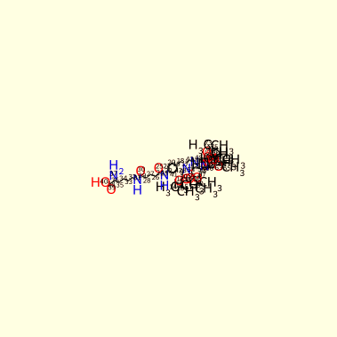 CC(C)(C)OC(=O)CN(CC(=O)OC(C)(C)C)[C@H](Cc1ccc(NC(=O)CCCC(=O)NCCCCC(N)C(=O)O)cc1)CN(CC(=O)OC(C)(C)C)[C@H]1CCCC[C@@H]1N(CC(=O)OC(C)(C)C)CC(=O)OC(C)(C)C